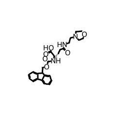 O=C(CC[C@H](NC(=O)OCC1c2ccccc2-c2ccccc21)C(=O)O)NCCN1CCOCC1